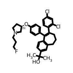 CC(C)(O)c1ccc2c(c1)CCCC(c1ccc(Cl)cc1Cl)=C2c1ccc(O[C@H]2CCN(CCCF)C2)cc1